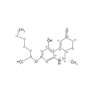 CCCCCC(C)Oc1cc(O)c2c(c1)N[C@@H](C)C1CCC(=O)C=C21